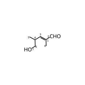 C/C(C=O)=C\C(C)CO